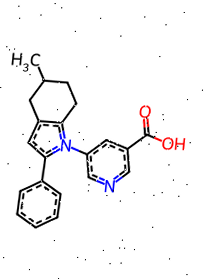 CC1CCc2c(cc(-c3ccccc3)n2-c2cncc(C(=O)O)c2)C1